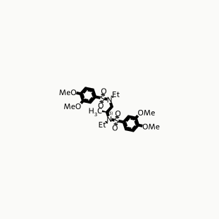 CCN(C[C@H](C)N(CC)S(=O)(=O)c1ccc(OC)c(OC)c1)S(=O)(=O)c1ccc(OC)c(OC)c1